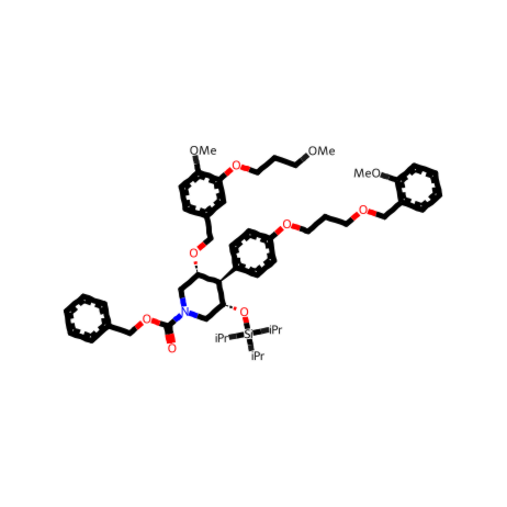 COCCCOc1cc(CO[C@H]2CN(C(=O)OCc3ccccc3)C[C@@H](O[Si](C(C)C)(C(C)C)C(C)C)[C@@H]2c2ccc(OCCCOCc3ccccc3OC)cc2)ccc1OC